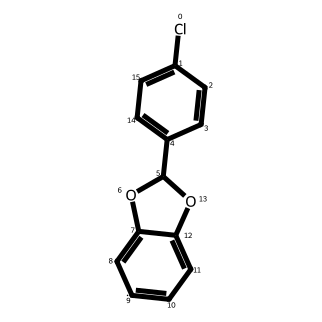 Clc1ccc(C2Oc3c[c]ccc3O2)cc1